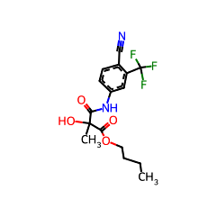 CCCCOC(=O)C(C)(O)C(=O)Nc1ccc(C#N)c(C(F)(F)F)c1